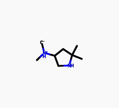 [CH2-][NH+](C)C1CNC(C)(C)C1